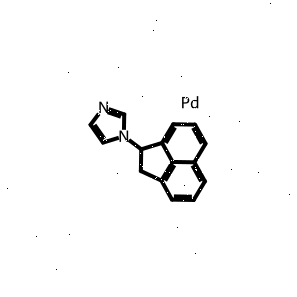 [Pd].c1cc2c3c(cccc3c1)C(n1ccnc1)C2